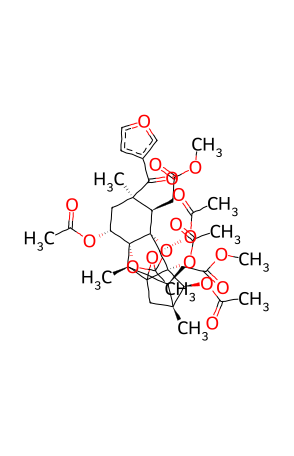 COC(=O)C[C@H]1[C@@]23OC4(C)OC56C[C@@](C)([C@H](OC(C)=O)[C@]5(OC(C)=O)[C@H]2OC(C)=O)[C@H](CC(=O)OC)[C@@]6(C)[C@@]3(O4)[C@H](OC(C)=O)C[C@@]1(C)C(=O)c1ccoc1